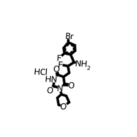 Cl.NC(c1ccc(Br)cc1F)C(F)CC1C(=O)NC(=O)N(C2CCOCC2)C1=O